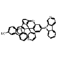 N#Cc1ccc2c(c1)c1ccccc1n2-c1cccc2c1C1(c3ccc(-n4c5ccccc5c5ccncc54)cc3O2)c2cccnc2-c2ncccc21